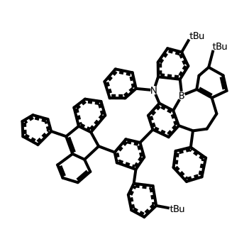 CC(C)(C)c1cccc(-c2cc(-c3cc4c5c(c3)N(c3ccccc3)c3ccc(C(C)(C)C)cc3B5C3=C(C=CC(C(C)(C)C)C3)CCC4c3ccccc3)cc(C3c4ccccc4C(c4ccccc4)=C4C=CC=CC43)c2)c1